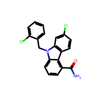 NC(=O)c1cccc2c1c1[c]cc(Cl)cc1n2Cc1ccccc1Cl